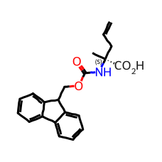 C=CC[C@](C)(NC(=O)OCC1c2ccccc2-c2ccccc21)C(=O)O